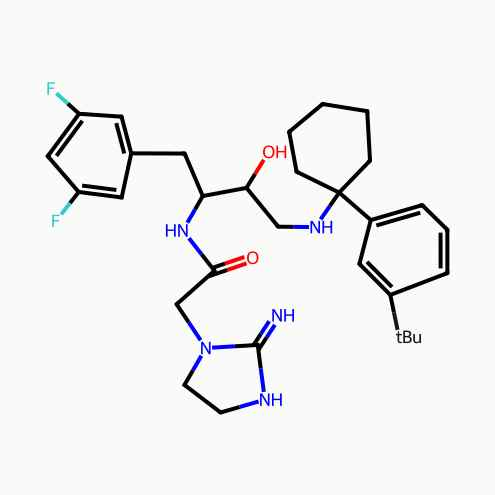 CC(C)(C)c1cccc(C2(NCC(O)C(Cc3cc(F)cc(F)c3)NC(=O)CN3CCNC3=N)CCCCC2)c1